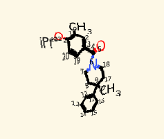 Cc1cc(C(=O)N2CCC(C)(c3ccccc3)CC2)ccc1OC(C)C